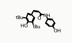 CC(C)(C)c1cc(/C=C\C(=O)Nc2ccc(O)cc2)cc(C(C)(C)C)c1O